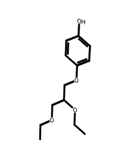 CCOCC(COc1ccc(O)cc1)OCC